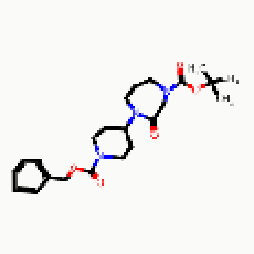 CC(C)(C)OC(=O)N1CCCN(C2CCN(C(=O)OCc3ccccc3)CC2)C(=O)C1